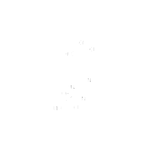 CC(C)(C)CCc1ncnc(C(C)(C)C)n1